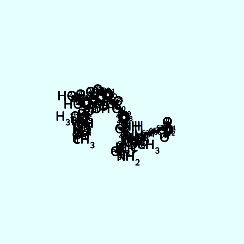 CO[C@H]1OCCN2[C@@H]1O[C@@H]1[C@H](C)O[C@@H](O[C@H]3C[C@](O)(C(=O)CO)Cc4c(O)c5c(c(O)c43)C(=O)c3c(OC(=O)OCc4ccc(NC(=O)[C@H](CCCNC(N)=O)NC(=O)[C@@H](NC(=O)CCCCCC6C(=O)C=CC6=O)C(C)C)cc4)cccc3C5=O)C[C@@H]12